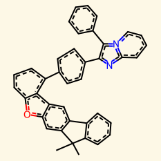 CC1(C)c2ccccc2-c2cc3c(cc21)oc1cccc(-c2ccc(-c4nc5ccccn5c4-c4ccccc4)cc2)c13